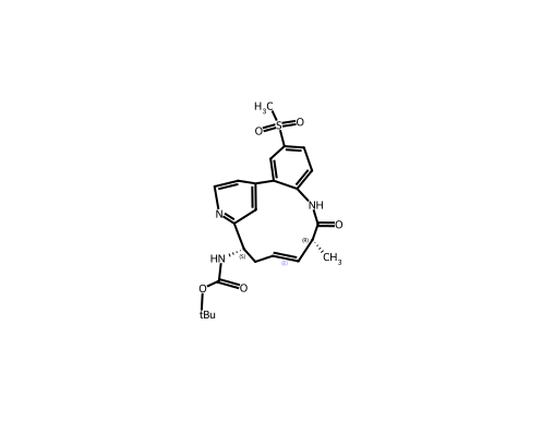 C[C@@H]1/C=C/C[C@H](NC(=O)OC(C)(C)C)c2cc(ccn2)-c2cc(S(C)(=O)=O)ccc2NC1=O